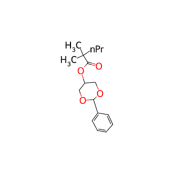 CCCC(C)(C)C(=O)OC1COC(c2ccccc2)OC1